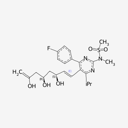 C=C(O)C[C@H](O)C[C@H](O)/C=C/c1c(-c2ccc(F)cc2)nc(N(C)S(C)(=O)=O)nc1C(C)C